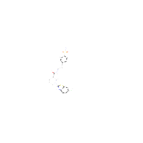 NS(=O)(=O)c1ccc(CCNC(=O)C2CCCN(c3nc4ccc(Cl)cc4s3)C2)cc1